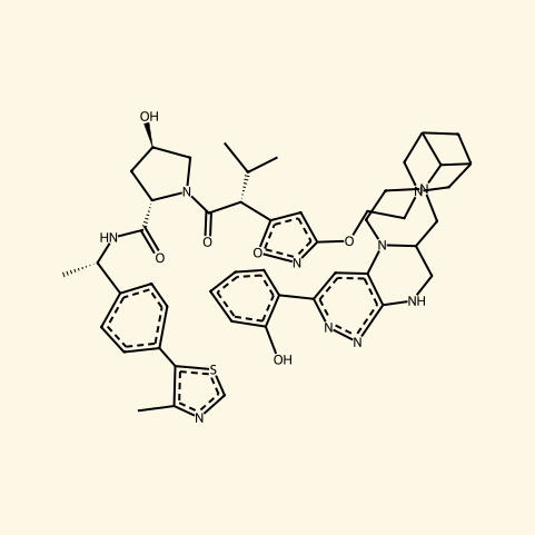 Cc1ncsc1-c1ccc([C@H](C)NC(=O)[C@@H]2C[C@@H](O)CN2C(=O)[C@@H](c2cc(OCCN3CC4CC(C3)C4N3CCN4c5cc(-c6ccccc6O)nnc5NCC4C3)no2)C(C)C)cc1